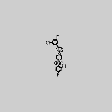 O=S(=O)(c1ccc(F)cc1Cl)N1CCN(c2nc(-c3cc(F)cc(Cl)c3)cs2)CC1